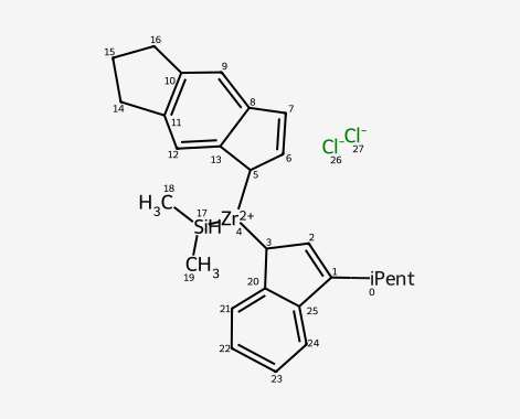 CCCC(C)C1=C[CH]([Zr+2]([CH]2C=Cc3cc4c(cc32)CCC4)[SiH](C)C)c2ccccc21.[Cl-].[Cl-]